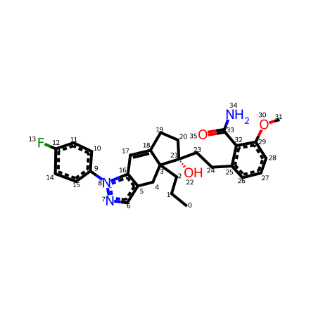 CCCC12Cc3cnn(-c4ccc(F)cc4)c3C=C1CC[C@@]2(O)CCc1cccc(OC)c1C(N)=O